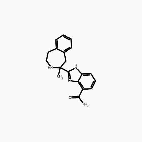 CC1(c2nc3c(C(N)=O)cccc3[nH]2)Cc2ccccc2CCN1